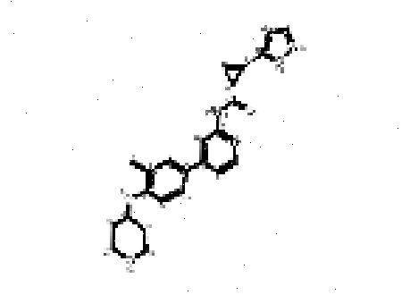 Cc1cc(-c2ccnc(NC(=O)[C@@H]3C[C@H]3c3ccno3)c2)ccc1OC1CCOCC1